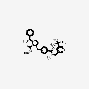 CN(Cc1cncc(C(C)(C)O)c1)C(=O)c1ccc(C[C@@H]2CC[C@H]([C@H](O)c3ccccc3)N2C(=O)OC(C)(C)C)cc1